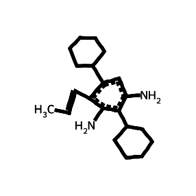 CC=Cc1c(C2CCCCC2)cc(N)c(C2CCCCC2)c1N